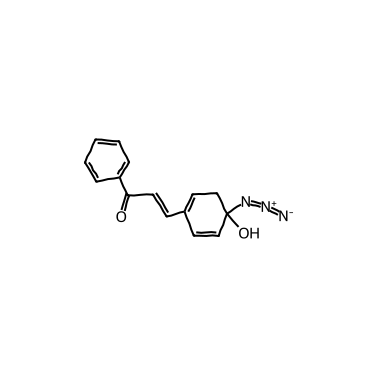 [N-]=[N+]=NC1(O)C=CC(C=CC(=O)c2ccccc2)=CC1